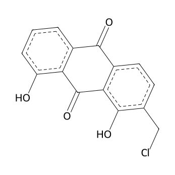 O=C1c2cccc(O)c2C(=O)c2c1ccc(CCl)c2O